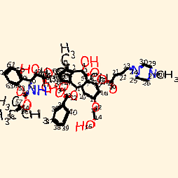 CC1=C2[C@@H](O)C(=O)[C@@]3(C)C(C[C@H](OCCO)C[C@@H]3OC(=O)CCCN3CCN(C)CC3)[C@H](OC(=O)c3ccccc3)[C@](O)(C[C@@H]1OC(=O)[C@H](O)[C@@H](NC(=O)OC(C)(C)C)c1ccccc1)C2(C)C